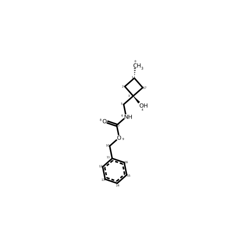 C[C@H]1C[C@@](O)(CNC(=O)OCc2ccccc2)C1